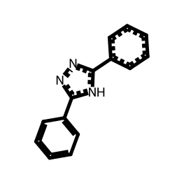 C1=C=CC(c2nnc(-c3ccccc3)[nH]2)=CC=1